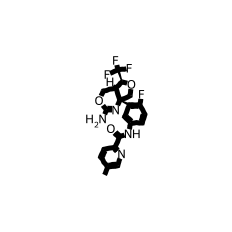 Cc1ccc(C(=O)Nc2ccc(F)c([C@]34CO[C@H](C(F)(F)F)[C@H]3COC(N)=N4)c2)nc1